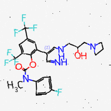 CN(C(=O)Oc1c(/C(C=N)=C/NCC(O)CN2CCC2)cc(C(F)(F)F)cc1C(F)(F)F)c1ccc(F)cc1